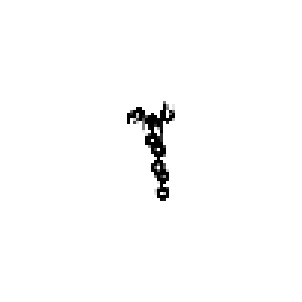 c1ccc(-c2ccc3cc(-c4ccc5nc(-c6nc(-c7cccnc7)cc(-c7cccnc7)n6)ccc5c4)ccc3n2)cc1